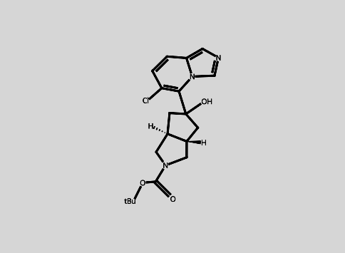 CC(C)(C)OC(=O)N1C[C@H]2CC(O)(c3c(Cl)ccc4cncn34)C[C@@H]2C1